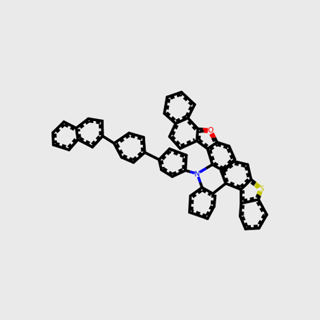 c1ccc(N(c2ccc(-c3ccc(-c4ccc5ccccc5c4)cc3)cc2)c2cccc3oc4c5ccccc5ccc4c23)c(-c2cccc3sc4ccccc4c23)c1